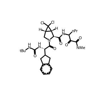 CCCC(NC(=O)[C@@H]1[C@@H]2[C@H](CN1C(=O)[C@@H](NC(=O)NC(C)(C)C)C1Cc3ccccc3C1)C2(Cl)Cl)C(=O)C(=O)NC